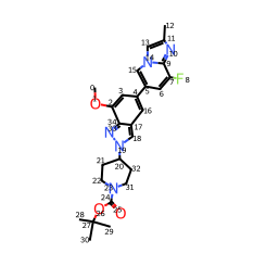 COc1cc(-c2cc(F)c3nc(C)cn3c2)cc2cn(C3CCN(C(=O)OC(C)(C)C)CC3)nc12